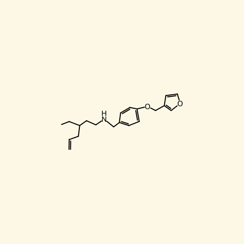 C=CCC(CC)CCNCc1ccc(OCc2ccoc2)cc1